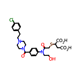 O=C(O)CC(SCC(=O)N(CCO)c1ccc(C(=O)N2CCN(CCc3ccc(Cl)cc3)CC2)cc1)C(=O)O